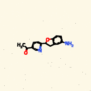 CC(=O)c1ccc(C2Cc3cc(N)ccc3O2)nc1